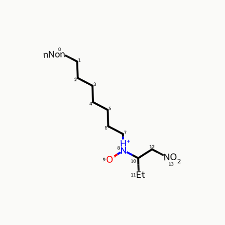 CCCCCCCCCCCCCCCC[NH+]([O-])C(CC)C[N+](=O)[O-]